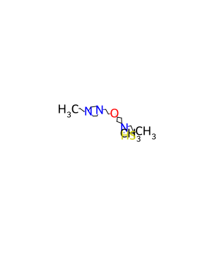 CCCN1CCN(CCO[C@H]2C[C@H](N(C)CC(C)S)C2)CC1